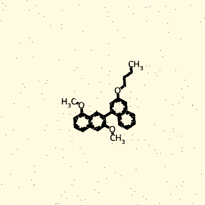 CCCCOc1cc(-c2[c]c3c(OC)cccc3cc2OC)c2ccccc2c1